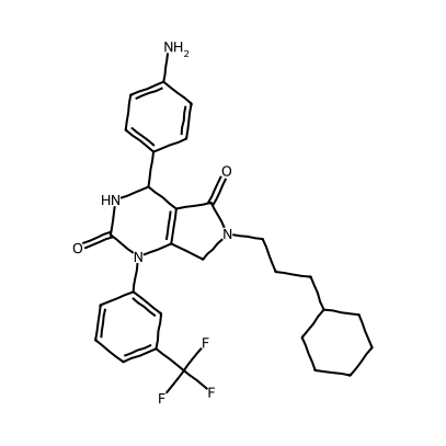 Nc1ccc(C2NC(=O)N(c3cccc(C(F)(F)F)c3)C3=C2C(=O)N(CCCC2CCCCC2)C3)cc1